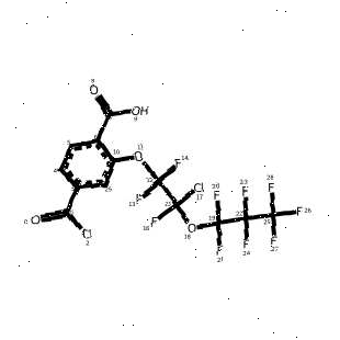 O=C(Cl)c1ccc(C(=O)O)c(OC(F)(F)C(F)(Cl)OC(F)(F)C(F)(F)C(F)(F)F)c1